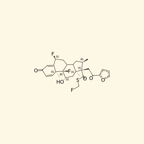 C[C@@H]1CC2C3C[C@H](F)C4=CC(=O)C=C[C@]4(C)[C@@]3(F)[C@@H](O)C[C@]2(C)[C@@]1(CC(=O)c1ccco1)C(=O)SCF